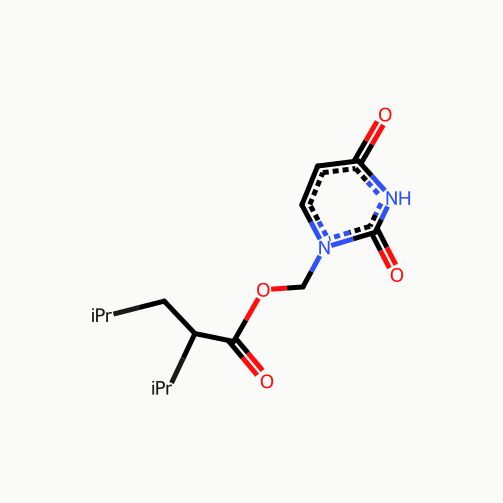 CC(C)CC(C(=O)OCn1ccc(=O)[nH]c1=O)C(C)C